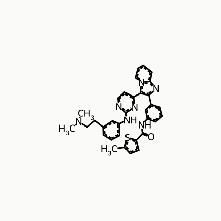 Cc1ccc(C(=O)Nc2cccc(-c3nc4ccccn4c3-c3ccnc(Nc4cccc(CCN(C)C)c4)n3)c2)s1